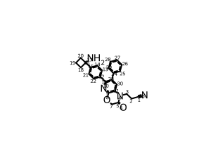 N#CCCN1C(=O)COc2nc(-c3ccc(C4(N)CCC4)cc3)c(-c3ccccc3)cc21